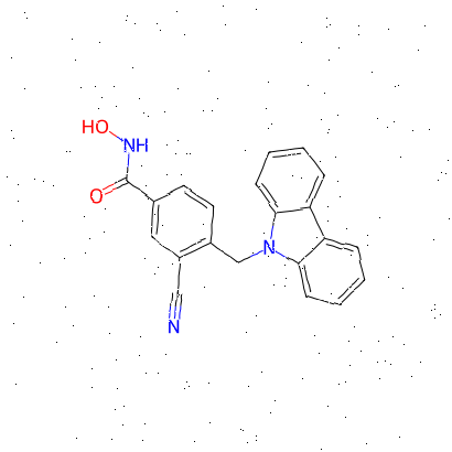 N#Cc1cc(C(=O)NO)ccc1Cn1c2ccccc2c2ccccc21